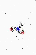 c1ccc2c(-c3ccc(-c4nc(-c5ccc(-c6cccc7oc8ccccc8c67)cc5)nc(-c5ccc6ccc7oc8ccccc8c7c6c5)n4)cc3)cccc2c1